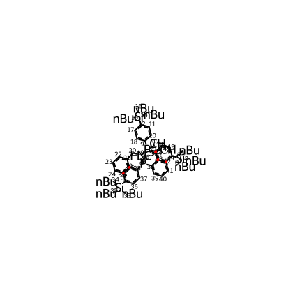 CCCC[Si](CCCC)(CCCC)c1ccc(P(c2ccc([Si](CCCC)(CCCC)CCCC)cc2)N(Cc2ccccc2)P(c2ccc([Si](CCCC)(CCCC)CCCC)cc2)c2ccccc2[Si](C)(C)C)cc1